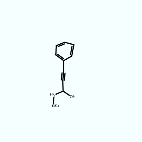 CCCCNC(O)C#Cc1ccccc1